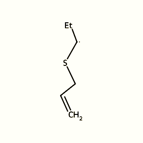 C=CCS[CH]CC